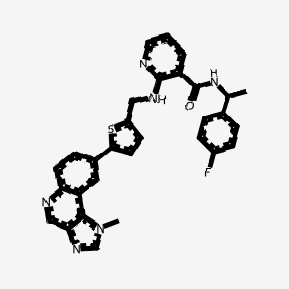 CC(NC(=O)c1cccnc1NCc1ccc(-c2ccc3ncc4ncn(C)c4c3c2)s1)c1ccc(F)cc1